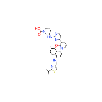 Cc1ccc2c(NCc3csc(C(C)C)n3)cccc2c1Oc1ncccc1-c1ccnc(NC2CCCN(C(=O)O)C2)n1